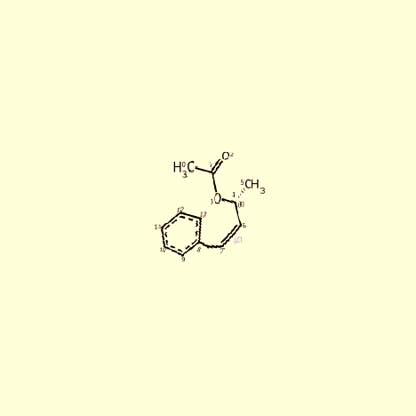 CC(=O)O[C@H](C)/C=C\c1ccccc1